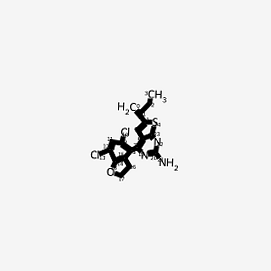 C=C(CC)c1cc2c(-c3c(Cl)cc(Cl)c4c3CCO4)nc(N)nc2s1